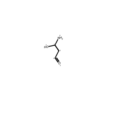 NC(O)C[C]=O